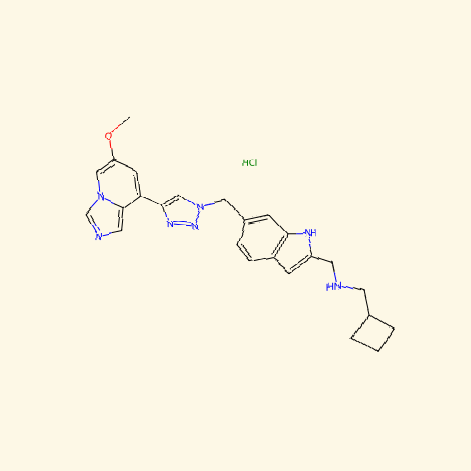 COc1cc(-c2cn(Cc3ccc4cc(CNCC5CCC5)[nH]c4c3)nn2)c2cncn2c1.Cl